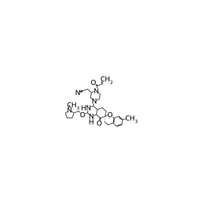 C=CC(=O)N1CCN(C2NC(OCC3CCCN3C)NC3C(=O)[C@@]4(CCc5ccc(C)cc5O4)CCC32)CC1CC#N